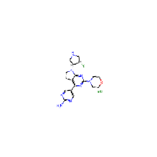 Cl.Nc1ncc(-c2nc(N3CCOCC3)nc3c2CCN3[C@@H]2CNC[C@@H]2F)cn1